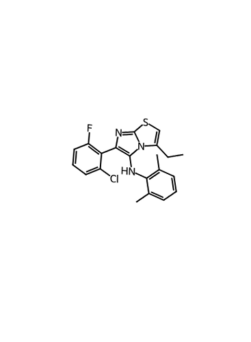 CCc1csc2nc(-c3c(F)cccc3Cl)c(Nc3c(C)cccc3C)n12